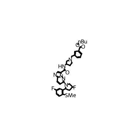 CCCCOC(=O)c1cccc(CN2CCC(NC(=O)c3cnc4ccc(N5CC(F)CC5c5cc(F)ccc5SC)nn34)C2)c1